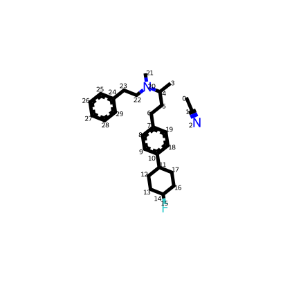 CC#N.CC(CCc1ccc(C2CCC(F)CC2)cc1)N(C)CCc1ccccc1